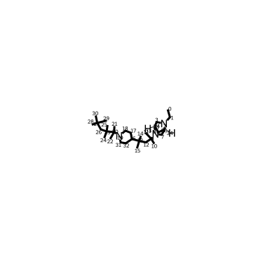 CCN1C[C@H]2C[C@@H]1CN2C(C)(C)CC(C)(C)C1CCN(C(C)(C)C(C)(C)CC(C)(C)C)CC1